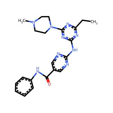 CCc1nc(Nc2ncc(C(=O)Nc3ccccc3)cn2)nc(N2CCN(C)CC2)n1